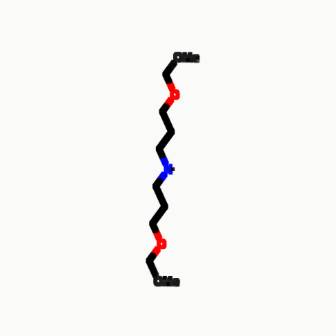 COCOCCC[N]CCCOCOC